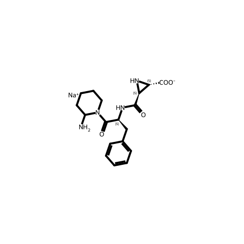 NC1CCCCN1C(=O)[C@H](Cc1ccccc1)NC(=O)[C@H]1N[C@@H]1C(=O)[O-].[Na+]